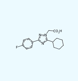 O=C(O)Cn1nc(-c2ccc(F)cc2)nc1C1CCCCC1